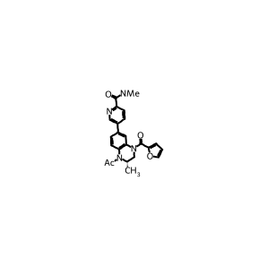 CNC(=O)c1ccc(-c2ccc3c(c2)N(C(=O)c2ccco2)C[C@H](C)N3C(C)=O)cn1